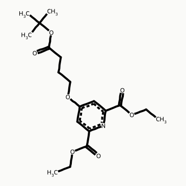 CCOC(=O)c1cc(OCCCC(=O)OC(C)(C)C)cc(C(=O)OCC)n1